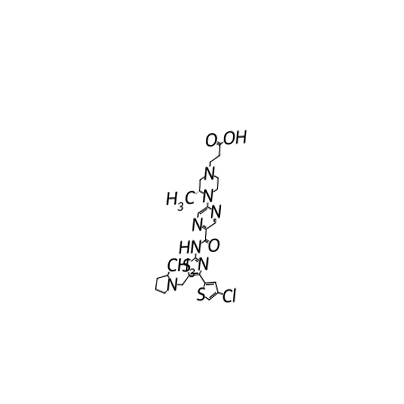 C[C@@H]1CCCN1Cc1sc(NC(=O)c2cnc(N3CCN(CCC(=O)O)C[C@H]3C)cn2)nc1-c1cc(Cl)cs1